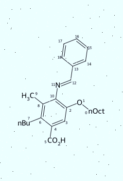 CCCCCCCCOc1cc(C(=O)O)c(CCCC)c(C)c1N=Cc1ccccc1